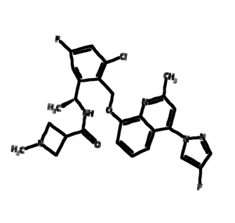 Cc1cc(-n2cc(F)cn2)c2cccc(OCc3c(Cl)cc(F)cc3[C@H](C)NC(=O)C3CN(C)C3)c2n1